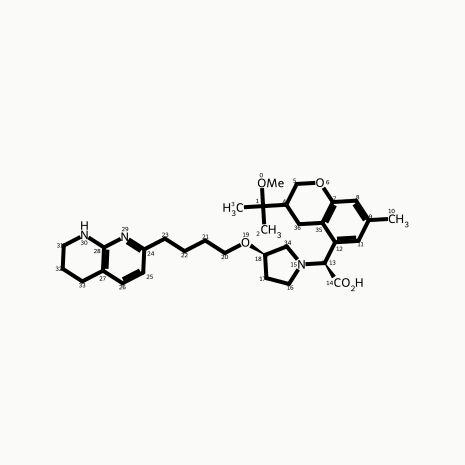 COC(C)(C)C1COc2cc(C)cc([C@@H](C(=O)O)N3CC[C@@H](OCCCCc4ccc5c(n4)NCCC5)C3)c2C1